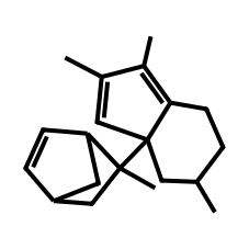 CC1=CC2(C3(C)CC4C=CC3C4)CC(C)CCC2=C1C